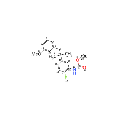 COc1cccc(CC(C)(C)c2ccc(F)c(NC(=O)OC(C)(C)C)c2)c1